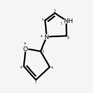 [CH]1NC=CN1C1CC=CO1